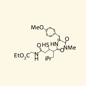 CCOC(=O)CNC(=O)CC(S)C(CC(C)C)C(=O)N[C@@H](Cc1ccc(OC)cc1)C(=O)NC